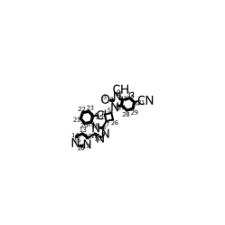 Cn1c(=O)n(C2CC(c3nnc(-c4ccncn4)n3-c3ccccc3Cl)C2)c2ccc(C#N)cc21